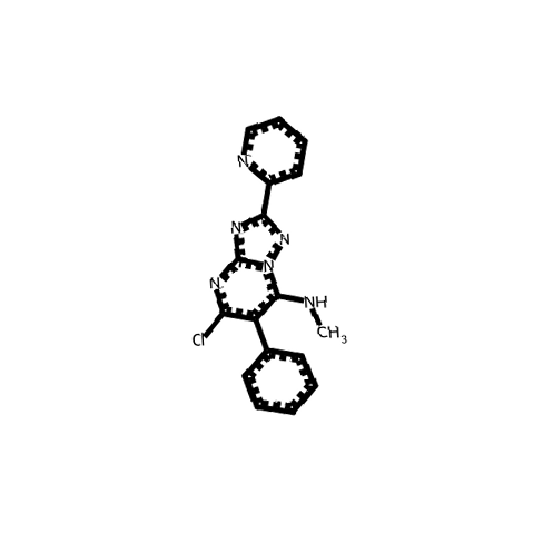 CNc1c(-c2ccccc2)c(Cl)nc2nc(-c3ccccn3)nn12